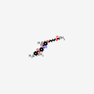 C=CC(=O)OCCCCCCOc1ccc(C(=O)Nc2ccc(OC(=O)c3ccc(C)cc3C)cc2)c(C)c1